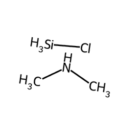 CNC.[SiH3]Cl